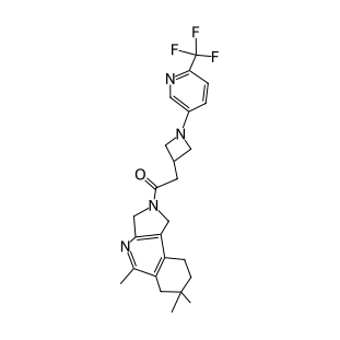 Cc1nc2c(c3c1CC(C)(C)CC3)CN(C(=O)CC1CN(c3ccc(C(F)(F)F)nc3)C1)C2